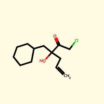 C=CCC(O)(CC1CCCCC1)C(=O)CCl